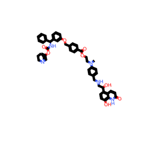 CN(CCOC(=O)c1ccc(COc2cccc([C@@H](NC(=O)OC3CN4CCC3CC4)c3ccccc3)c2)cc1)c1ccc(CNCC(O)c2ccc(O)c3[nH]c(=O)ccc23)cc1